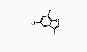 Cc1coc2c(F)cc(Cl)cc12